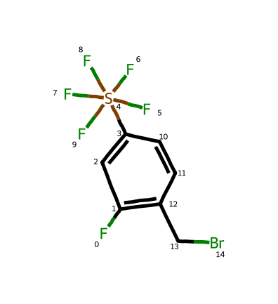 Fc1cc(S(F)(F)(F)(F)F)ccc1CBr